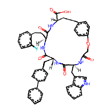 O=C1COc2ccc(cc2)C[C@@H](C(=O)O)NC(=O)[C@H](Cc2ccccc2F)NC(=O)[C@@H](Cc2ccc(-c3ccccc3)cc2)NC(=O)[C@H](Cc2c[nH]c3ccccc23)N1